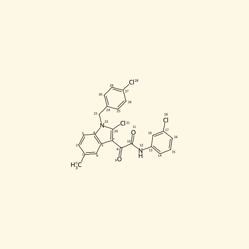 Cc1ccc2c(c1)c(C(=O)C(=O)Nc1cccc(Cl)c1)c(Cl)n2Cc1ccc(Cl)cc1